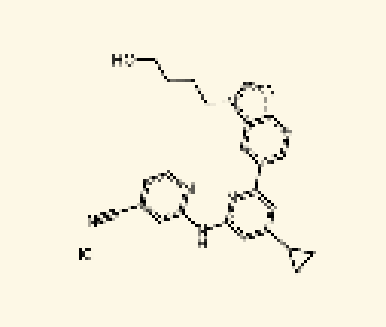 Cl.N#Cc1ccnc(Nc2cc(C3CC3)cc(-c3ccc4ncn(CCCCO)c4c3)n2)c1